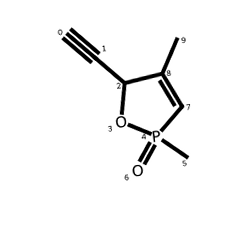 C#CC1OP(C)(=O)C=C1C